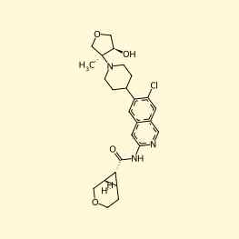 C[C@]1(N2CCC(c3cc4cc(NC(=O)[C@H]5[C@@H]6COCC[C@@H]65)ncc4cc3Cl)CC2)COC[C@H]1O